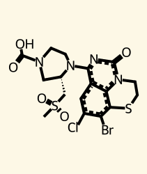 CS(=O)(=O)C[C@@H]1CN(C(=O)O)CCN1c1nc(=O)n2c3c(c(Br)c(Cl)cc13)SCC2